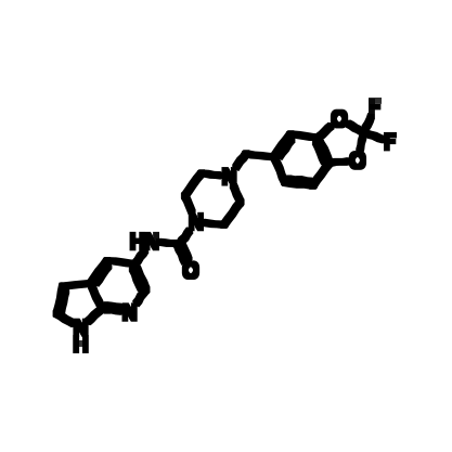 O=C(Nc1cnc2[nH]ccc2c1)N1CCN(Cc2ccc3c(c2)OC(F)(F)O3)CC1